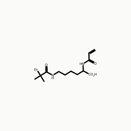 C=CC(=O)NC(CCCCNC(=O)C(C)(C)CC)C(=O)O